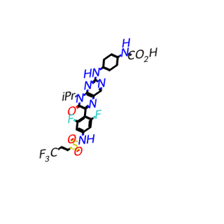 CC(C)n1c(=O)c(-c2c(F)cc(NS(=O)(=O)CCC(F)(F)F)cc2F)nc2cnc(NC3CCC(NC(=O)O)CC3)nc21